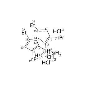 CCCC1=[C]([Hf]([CH3])([CH3])(=[SiH2])[C]2=C(CCC)C=C(CC)C2)CC(CC)=C1.Cl.Cl